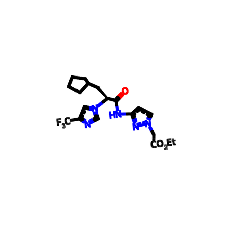 CCOC(=O)Cn1ccc(NC(=O)[C@H](CC2CCCC2)n2cnc(C(F)(F)F)c2)n1